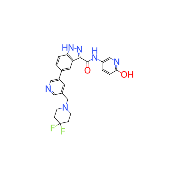 O=C(Nc1ccc(O)nc1)c1n[nH]c2ccc(-c3cncc(CN4CCC(F)(F)CC4)c3)cc12